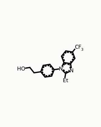 CCc1nc2cc(C(F)(F)F)ccc2n1-c1ccc(CCO)cc1